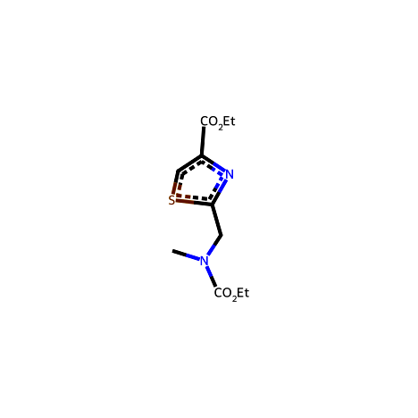 CCOC(=O)c1csc(CN(C)C(=O)OCC)n1